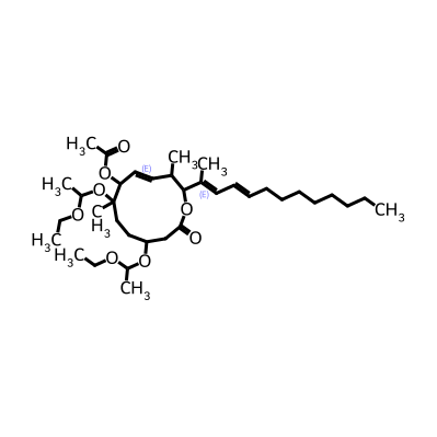 CCCCCCCCC=C/C=C(\C)C1OC(=O)CC(OC(C)OCC)CCC(C)(OC(C)OCC)C(OC(C)=O)/C=C/C1C